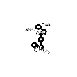 COc1ccc(OC)c(C2CCCN2C(=O)c2ccc(-c3cc(C(F)(F)F)nn3-c3ccccc3Cl)cc2)c1